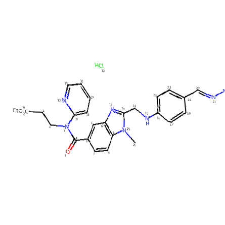 CCOC(=O)CCN(C(=O)c1ccc2c(c1)nc(CNc1ccc(C=NN)cc1)n2C)c1ccccn1.Cl